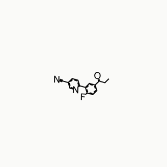 CCC(=O)c1ccc(F)c(-c2ccc(C#N)cn2)c1